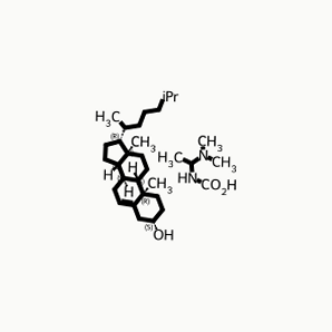 CC(C)CCCC(C)[C@H]1CC[C@H]2[C@@H]3CC=C4C[C@@H](O)CC[C@]4(C)[C@H]3CC[C@]12C.CC(NC(=O)O)N(C)C